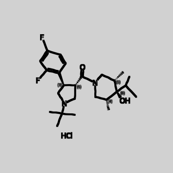 CC(C)[C@]1(O)[C@H](C)CN(C(=O)[C@@H]2CN(C(C)(C)C)C[C@H]2c2ccc(F)cc2F)C[C@@H]1C.Cl